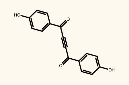 O=C(C#CC(=O)c1ccc(O)cc1)c1ccc(O)cc1